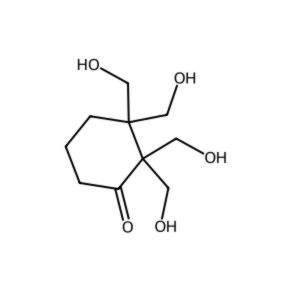 O=C1CCCC(CO)(CO)C1(CO)CO